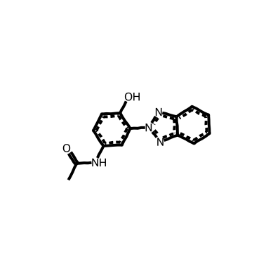 CC(=O)Nc1ccc(O)c(-n2nc3ccccc3n2)c1